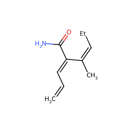 C=C/C=C(C(N)=O)\C(C)=C/CC